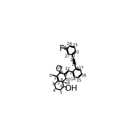 CC1=C2CCC[C@H](O)[C@@]2(C)C/C(=C\c2ccccc2C#Cc2cccc(F)c2)C1=O